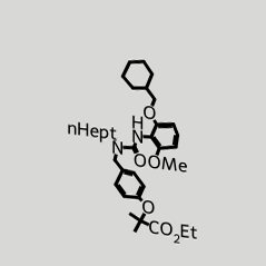 CCCCCCCN(Cc1ccc(OC(C)(C)C(=O)OCC)cc1)C(=O)Nc1c(OC)cccc1OCC1CCCCC1